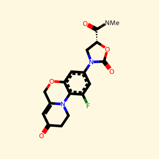 CNC(=O)[C@H]1CN(c2cc(F)c3c(c2)OCC2=CC(=O)CCN23)C(=O)O1